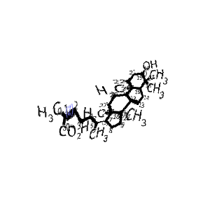 C/C(=C/CCC(C)[C@@H]1CC[C@]2(C)C3=CCC4C(C)(C)[C@H](O)CC[C@]4(C)C3CC[C@@]12C)C(=O)O